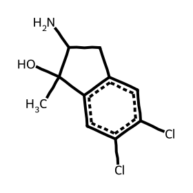 CC1(O)c2cc(Cl)c(Cl)cc2CC1N